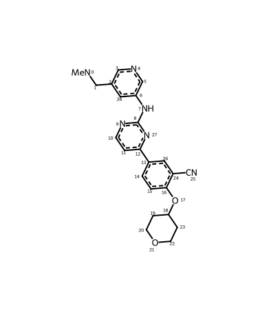 CNCc1cncc(Nc2nccc(-c3ccc(OC4CCOCC4)c(C#N)c3)n2)c1